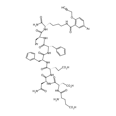 C#CCOc1ccc(C(C)=O)cc1C(=O)NCCCC[C@H](NC(=O)[C@H](CC(C)C)NC(=O)[C@H](Cc1ccccc1)NC(=O)[C@H](Cc1ccccc1)NC(=O)[C@H](CCC(=O)O)NC(=O)[C@H](CC(N)=O)NC(=O)[C@H](CC(=O)O)NC(=O)[C@@H](N)CCC(=O)O)C(N)=O